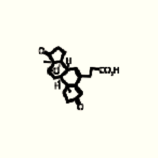 C[C@]12CCC(=O)C=C1C(CCC(=O)O)=C[C@@H]1[C@@H]2CC[C@]2(C)C(=O)CC[C@@]12O